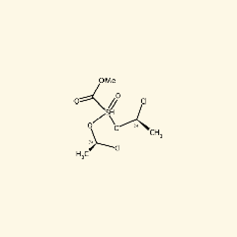 COC(=O)[SH](=O)(O[C@H](C)Cl)O[C@H](C)Cl